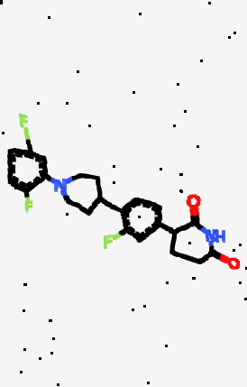 O=C1CCC(c2ccc(C3CCN(c4cc(F)ccc4F)CC3)c(F)c2)C(=O)N1